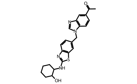 CC(=O)c1ccc2c(c1)ncn2Cc1ccc2nc(NC3CCCCC3O)sc2c1